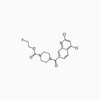 O=C(OCCF)N1CCN(C(=O)c2ccc3c(Cl)cc(Cl)nc3c2)CC1